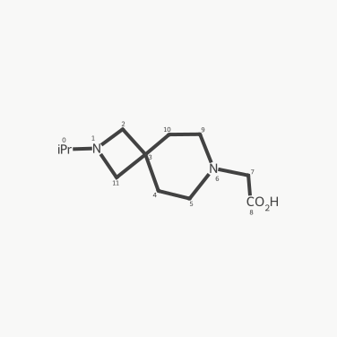 CC(C)N1CC2(CCN(CC(=O)O)CC2)C1